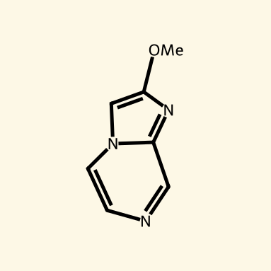 COc1cn2ccncc2n1